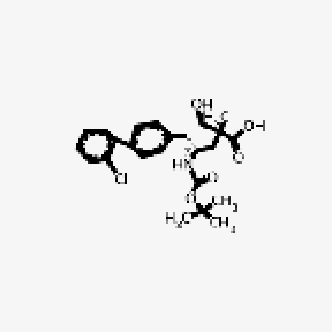 CC(C)(C)OC(=O)N[C@H](Cc1ccc(-c2ccccc2Cl)cc1)CC(C)(CO)C(=O)O